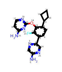 Nc1cnc(-c2ccc(C3CCC3)c(Oc3nccc(N)n3)c2F)cn1